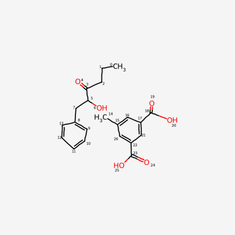 CCCC(=O)C(O)Cc1ccccc1.Cc1cc(C(=O)O)cc(C(=O)O)c1